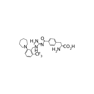 N/C(=N\C(=O)c1ccc(C[C@H](N)C(=O)O)cc1)NCc1c(N2CCCCCC2)cccc1C(F)(F)F